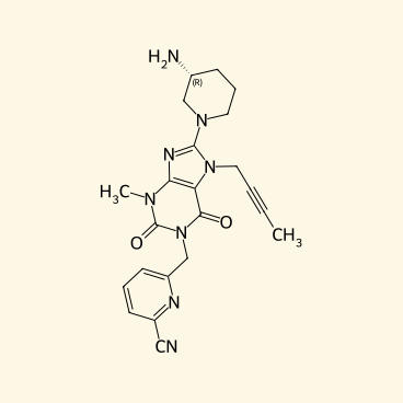 CC#CCn1c(N2CCC[C@@H](N)C2)nc2c1c(=O)n(Cc1cccc(C#N)n1)c(=O)n2C